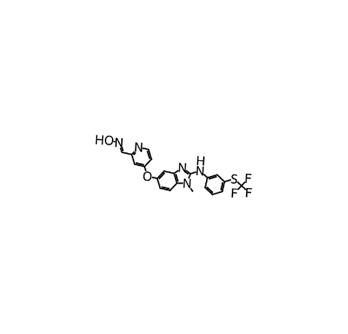 Cn1c(Nc2cccc(SC(F)(F)F)c2)nc2cc(Oc3ccnc(C=NO)c3)ccc21